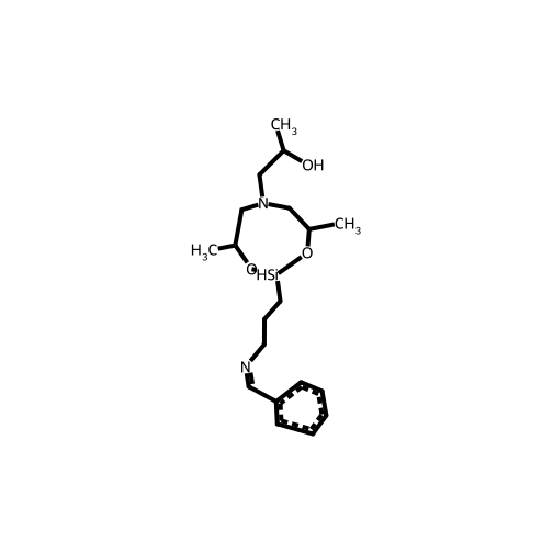 CC(O)CN1CC(C)O[SiH](CCC/N=C\c2ccccc2)OC(C)C1